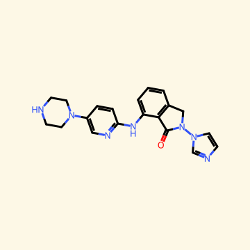 O=C1c2c(cccc2Nc2ccc(N3CCNCC3)cn2)CN1n1ccnc1